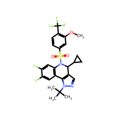 COc1cc(S(=O)(=O)N2c3cc(F)c(F)cc3-c3c(cnn3C(C)(C)C)C2C2CC2)ccc1C(F)(F)F